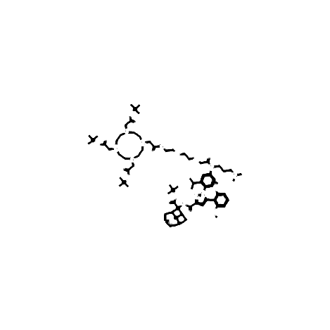 COc1cccc(OC)c1-c1cc(C(=O)NC2(C(=O)OC(C)(C)C)C3CC4CC5CC2C53C4)nn1-c1ccc(N(CCCN(C)C)C(=O)COCCOCCNC(=O)CN2CCN(CC(=O)OC(C)(C)C)CCN(CC(=O)OC(C)(C)C)CCN(CC(=O)OC(C)(C)C)CC2)cc1C(C)C